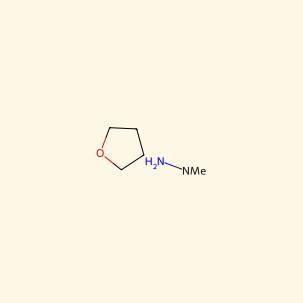 C1CCOC1.CNN